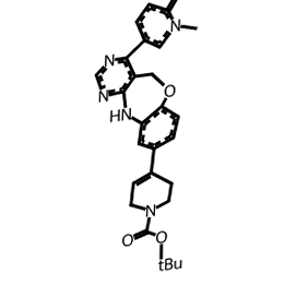 Cn1cc(-c2ncnc3c2COc2ccc(C4=CCN(C(=O)OC(C)(C)C)CC4)cc2N3)ccc1=O